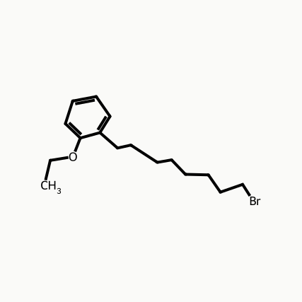 CCOc1ccccc1CCCCCCCCBr